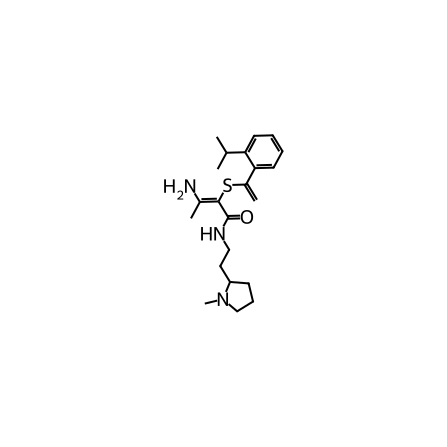 C=C(S/C(C(=O)NCCC1CCCN1C)=C(/C)N)c1ccccc1C(C)C